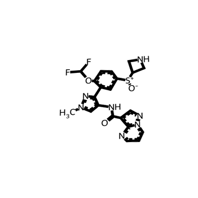 Cn1cc(NC(=O)c2cnn3cccnc23)c(-c2cc([S+]([O-])C3CNC3)ccc2OC(F)F)n1